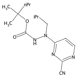 CCCC(C)(C)OC(=O)NN(CC(C)C)c1ccnc(C#N)n1